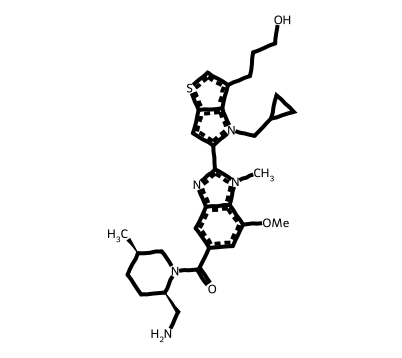 COc1cc(C(=O)N2C[C@H](C)CC[C@@H]2CN)cc2nc(-c3cc4scc(CCCO)c4n3CC3CC3)n(C)c12